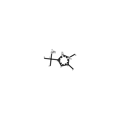 CCCC(C)(C)c1cc(C)n(C)n1